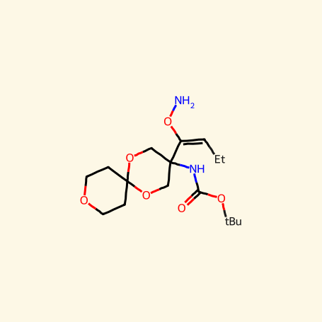 CC/C=C(/ON)C1(NC(=O)OC(C)(C)C)COC2(CCOCC2)OC1